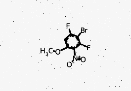 COc1cc(F)c(Br)c(F)c1[N+](=O)[O-]